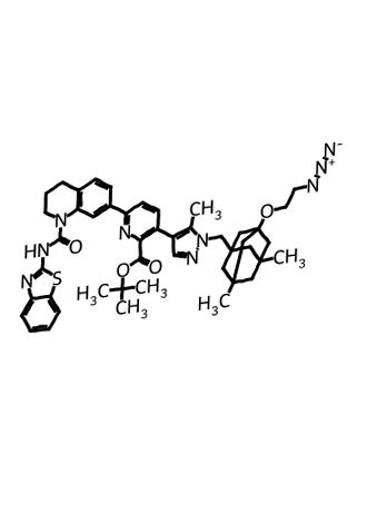 Cc1c(-c2ccc(-c3ccc4c(c3)N(C(=O)Nc3nc5ccccc5s3)CCC4)nc2C(=O)OC(C)(C)C)cnn1CC12CC3(C)CC(C)(C1)CC(OCCN=[N+]=[N-])(C3)C2